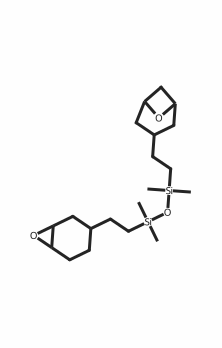 C[Si](C)(CCC1CC2CC(C1)O2)O[Si](C)(C)CCC1CCC2OC2C1